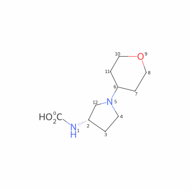 O=C(O)N[C@H]1CCN(C2CCOCC2)C1